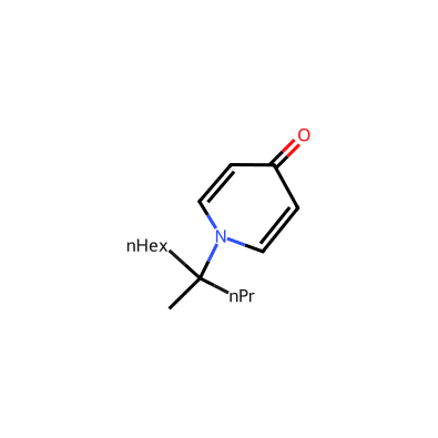 CCCCCCC(C)(CCC)n1ccc(=O)cc1